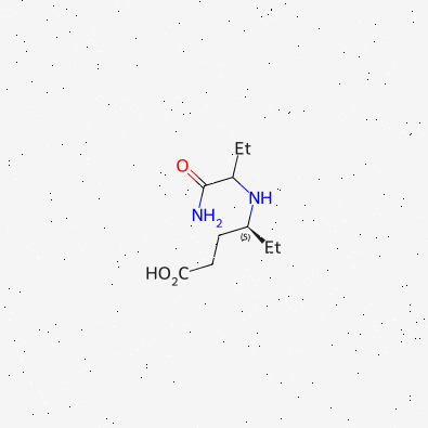 CCC(N[C@@H](CC)CCC(=O)O)C(N)=O